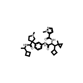 CC(NC(=O)C1(c2cccc(NC(=O)[C@@H](NC(=O)c3ccnn3C)C(C3CCC3)C3(C)CC3)c2)CCN(C)C1)C1CCC1